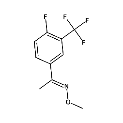 CON=C(C)c1ccc(F)c(C(F)(F)F)c1